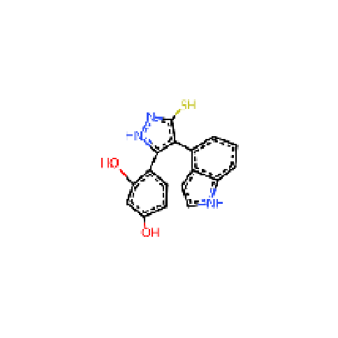 Oc1ccc(-c2[nH]nc(S)c2-c2cccc3[nH]ccc23)c(O)c1